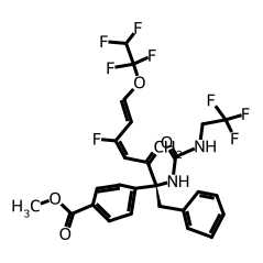 C=C(/C=C(F)\C=C\OC(F)(F)C(F)F)[C@](Cc1ccccc1)(NC(=O)NCC(F)(F)F)c1ccc(C(=O)OC)cc1